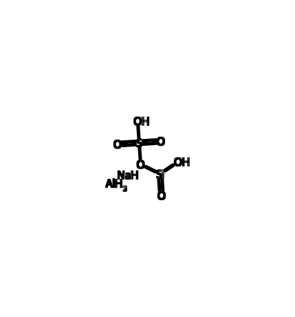 O=[Si](O)OS(=O)(=O)O.[AlH3].[NaH]